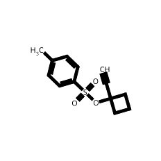 C#CC1(OS(=O)(=O)c2ccc(C)cc2)CCC1